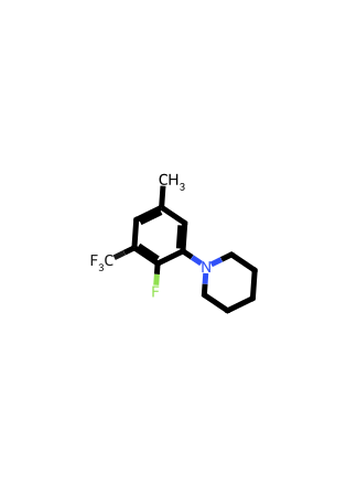 Cc1cc(N2CCCCC2)c(F)c(C(F)(F)F)c1